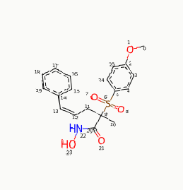 COc1ccc(S(=O)(=O)C(C)(C/C=C\c2ccccc2)C(=O)NO)cc1